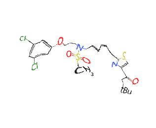 CC(C)(C)CC(=O)c1csc(CCCN(CCOc2cc(Cl)cc(Cl)c2)S(C)(=O)=O)n1